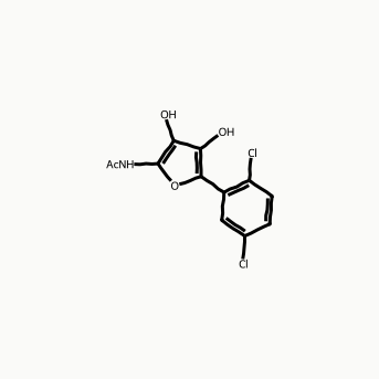 CC(=O)Nc1oc(-c2cc(Cl)ccc2Cl)c(O)c1O